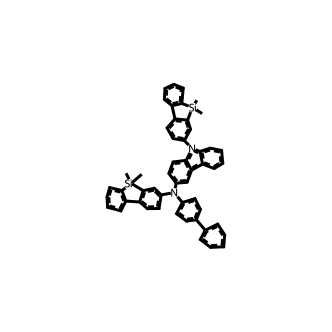 C[Si]1(C)c2ccccc2-c2ccc(N(c3ccc(-c4ccccc4)cc3)c3ccc4c(c3)c3ccccc3n4-c3ccc4c(c3)[Si](C)(C)c3ccccc3-4)cc21